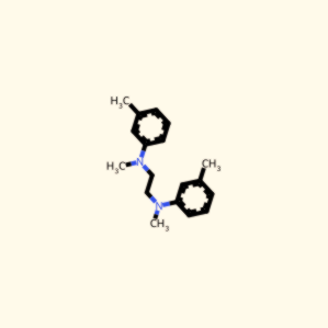 Cc1cccc(N(C)CCN(C)c2cccc(C)c2)c1